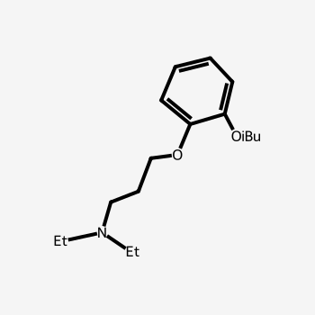 CCN(CC)CCCOc1ccccc1OCC(C)C